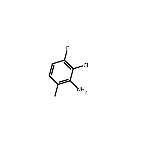 Cc1ccc(F)c(Cl)c1N